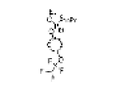 CCCSP(=O)(OCC)Oc1ccc(OC(F)(F)C(F)F)cc1